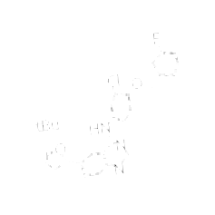 CC(C)(C)Cc1ccc(-c2ccc3ncnc(Nc4ccc(OCc5cccc(F)c5)c(Cl)c4)c3c2)o1